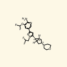 Nc1ncc(-c2cc([C@H]3[C@@H]4C[C@@H](N5CCOCC5)C[C@@H]43)n(CC(F)F)n2)cc1OC(F)F